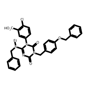 CCN(Cc1ccccc1)c1nc(=O)n(Cc2ccc(OCc3ccccc3)cc2)c(=O)n1-c1ccc(Cl)c(C(=O)O)c1